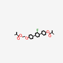 C=C(C)C(=O)OCCOc1ccc(-c2ccc(-c3ccc(OC(=O)C(=C)C)cc3)c(F)c2)cc1